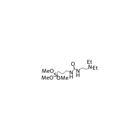 CCN(CC)CCNC(=O)NCCC[Si](OC)(OC)OC